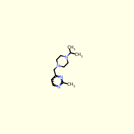 Cc1nccc(CN2CCN(C(C)C)CC2)n1